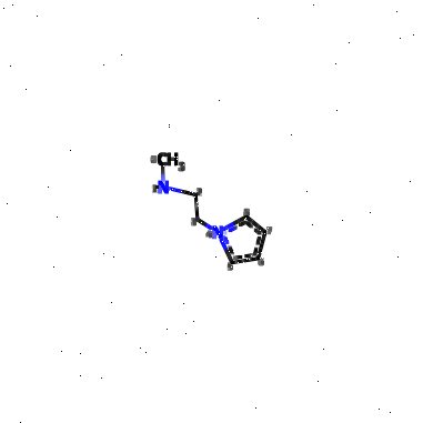 C[N]CCn1cccc1